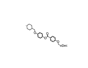 CCCCCCCCCCCOc1ccc(C(=O)Oc2ccc(OCC3CC[CH]CC3)cc2)cc1